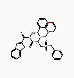 CCCCN(C(=O)c1nc2ccccc2s1)C(=O)[C@H](CS(=O)(=O)Cc1ccccc1)N(Cc1ccccc1)Cc1ccccc1